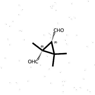 CC1(C)[C@@H](C=O)[C@@]1(C)C=O